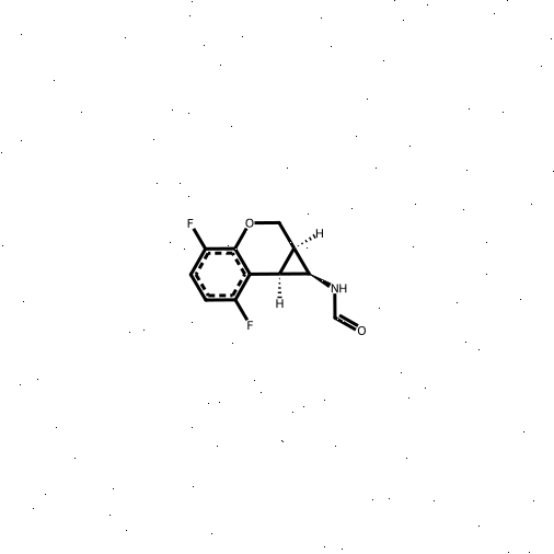 O=CN[C@@H]1[C@@H]2COc3c(F)ccc(F)c3[C@@H]21